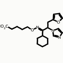 O=C(O)CCCCO/N=C(\C1CCCCC1)C(Cc1ccco1)n1ccnc1